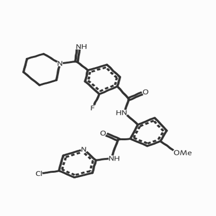 COc1ccc(NC(=O)c2ccc(C(=N)N3CCCCC3)cc2F)c(C(=O)Nc2ccc(Cl)cn2)c1